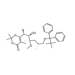 CO[C@](C)(C[C@@H](C)CO[Si](c1ccccc1)(c1ccccc1)C(C)(C)C)[C@H](O)[C@H](C)C1=C(C)C(=O)OC(C)(C)O1